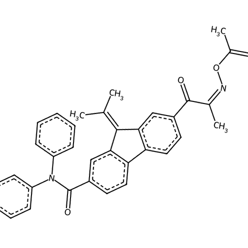 CC(=O)O/N=C(/C)C(=O)c1ccc2c(c1)C(=C(C)C)c1cc(C(=O)N(c3ccccc3)c3ccccc3)ccc1-2